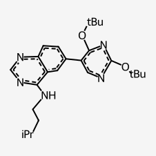 CC(C)CCNc1ncnc2ccc(-c3cnc(OC(C)(C)C)nc3OC(C)(C)C)cc12